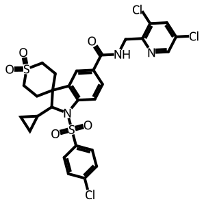 O=C(NCc1ncc(Cl)cc1Cl)c1ccc2c(c1)C1(CCS(=O)(=O)CC1)C(C1CC1)N2S(=O)(=O)c1ccc(Cl)cc1